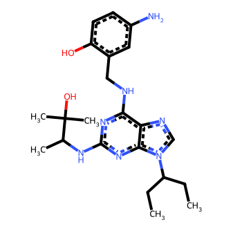 CCC(CC)n1cnc2c(NCc3cc(N)ccc3O)nc(NC(C)C(C)(C)O)nc21